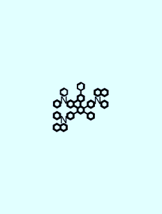 C1=CCCC(N(c2ccccc2)c2ccc3c(c2)c2cc(C4C=CC=CC4)ccc2c2c(-c4ccc(N(c5ccccc5)c5cccc6ccccc56)cc4)c(-c4ccccc4)cc(-c4ccc(N(c5ccccc5)c5cccc6ccccc56)cc4)c32)=C1